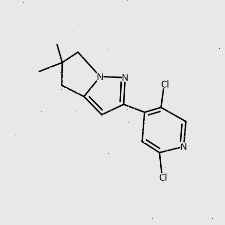 CC1(C)Cc2cc(-c3cc(Cl)ncc3Cl)nn2C1